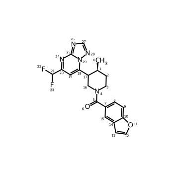 C[C@H]1CCN(C(=O)c2ccc3occc3c2)CC1c1cc(C(F)F)nc2ncnn12